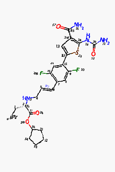 CC(C)C[C@H](NC/C=C/c1cc(F)c(-c2cc(C(N)=O)c(NC(N)=O)s2)cc1F)C(=O)OC1CCCC1